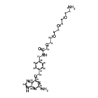 NCCOCCOCCOCCOCC(=O)NCc1ccc(COc2nc(N)nc3[nH]cnc23)cc1